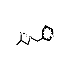 CC(N)COCc1cccnc1